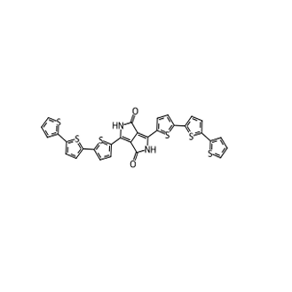 O=C1NC(c2ccc(-c3ccc(-c4cccs4)s3)s2)=C2C(=O)NC(c3ccc(-c4ccc(-c5cccs5)s4)s3)=C12